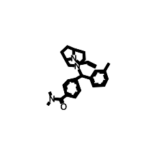 C=CCN1C2CCC1CN(C(c1ccc(C(=O)N(C)C)cc1)c1cccc(C)c1)CC2